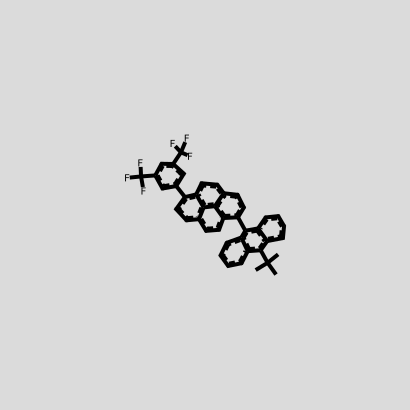 CC(C)(C)c1c2ccccc2c(-c2ccc3ccc4c(-c5cc(C(F)(F)F)cc(C(F)(F)F)c5)ccc5ccc2c3c54)c2ccccc12